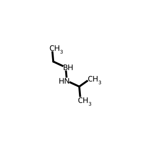 CCBNC(C)C